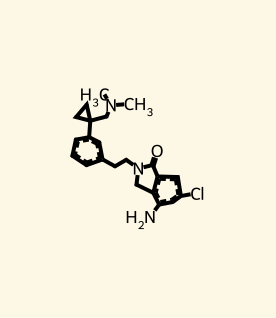 CN(C)CC1(c2cccc(CCN3Cc4c(N)cc(Cl)cc4C3=O)c2)CC1